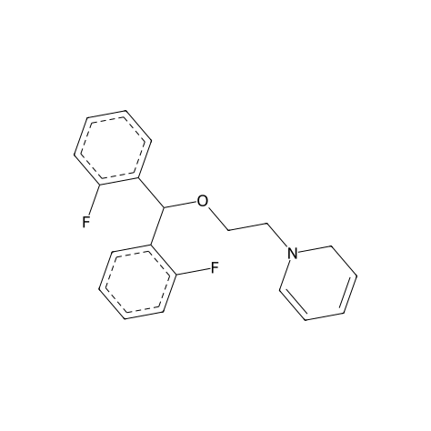 Fc1ccccc1C(OCCN1C=CC=CC1)c1ccccc1F